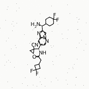 N#CC1([C@@H](NC(=O)CC2CC(F)(F)C2)c2cnn3cc([C@@H](N)C4CCC(F)(F)CC4)nc3c2)CC1